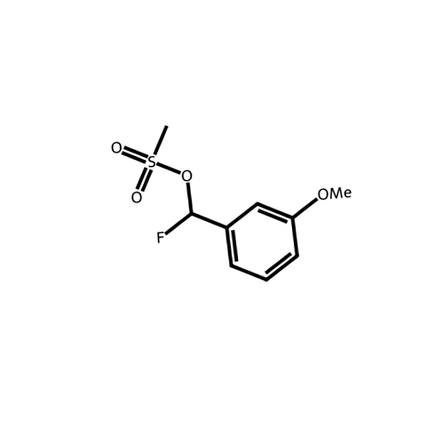 COc1cccc(C(F)OS(C)(=O)=O)c1